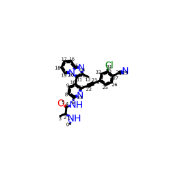 CNC(C)C(=O)Nc1ccc(-c2c(C)nc3ccccn23)c(C#Cc2ccc(C#N)c(Cl)c2)n1